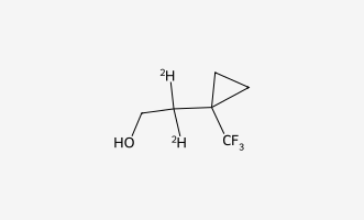 [2H]C([2H])(CO)C1(C(F)(F)F)CC1